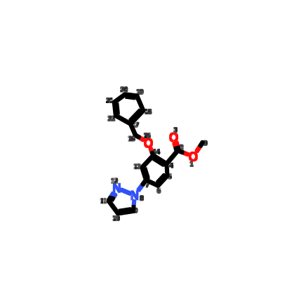 COC(=O)c1ccc(-n2cccn2)cc1OCc1ccccc1